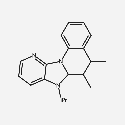 CC1c2ccccc2N2c3ncccc3N(C(C)C)C2C1C